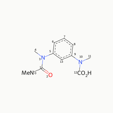 CNC(=O)N(C)c1cccc(N(C)C(=O)O)c1